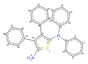 Nc1sc(N(c2ccccc2)c2ccccc2)c(-c2ccccc2)c1-c1ccccc1